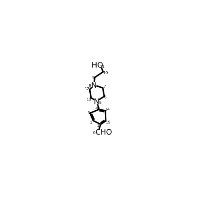 O=Cc1ccc(N2CCN(CCO)CC2)cc1